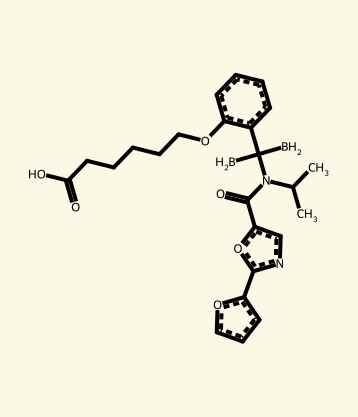 BC(B)(c1ccccc1OCCCCCC(=O)O)N(C(=O)c1cnc(-c2ccco2)o1)C(C)C